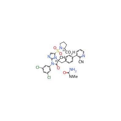 CNC(N)=O.C[C@@]1(Cc2ccc(-c3cccnc3C#N)cc2)C(=O)N(c2cc(Cl)cc(Cl)c2)c2ncc(S(=O)(=O)N3CCC[C@H]3C(=O)O)n21